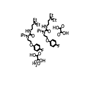 CCN(CC)CCNC(=O)N(CCOc1ccc(F)cc1)C(C)C.CCN(CC)CCNC(=O)N(CCOc1ccc(F)cc1)C(C)C.O.O=C(O)C(=O)O.O=C(O)C(=O)O